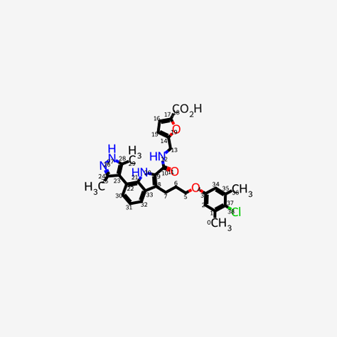 Cc1cc(OCCCc2c(C(=O)NCc3ccc(C(=O)O)o3)[nH]c3c(-c4c(C)n[nH]c4C)cccc23)cc(C)c1Cl